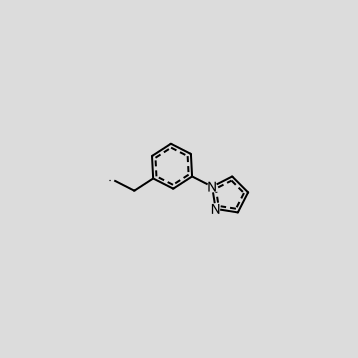 [CH2]Cc1cccc(-n2cccn2)c1